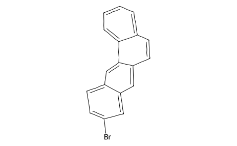 Brc1ccc2cc3c(ccc4ccccc43)cc2c1